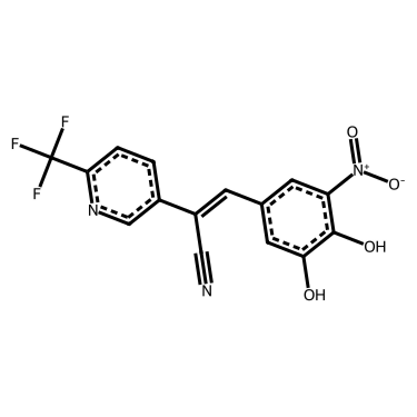 N#C/C(=C\c1cc(O)c(O)c([N+](=O)[O-])c1)c1ccc(C(F)(F)F)nc1